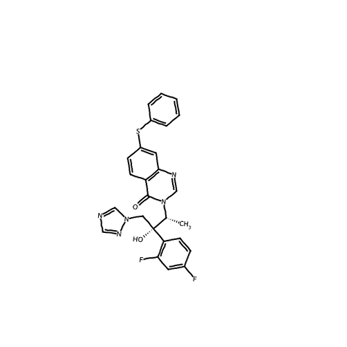 C[C@@H](n1cnc2cc(Sc3ccccc3)ccc2c1=O)[C@](O)(Cn1cncn1)c1ccc(F)cc1F